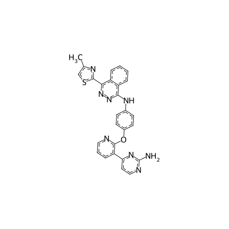 Cc1csc(-c2nnc(Nc3ccc(Oc4ncccc4-c4ccnc(N)n4)cc3)c3ccccc23)n1